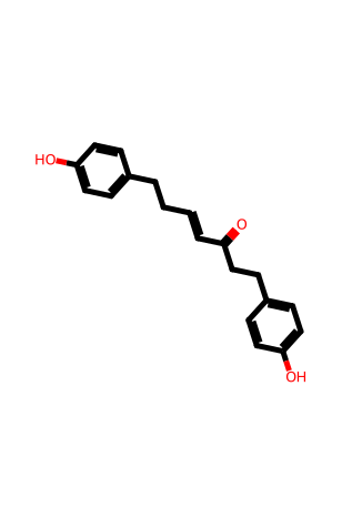 O=C(C=CCCc1ccc(O)cc1)CCc1ccc(O)cc1